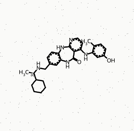 Cc1ccc(O)cc1Nc1ccnc2c1C(=O)Nc1cc(CN[C@H](C)C3CCCCC3)ccc1N2